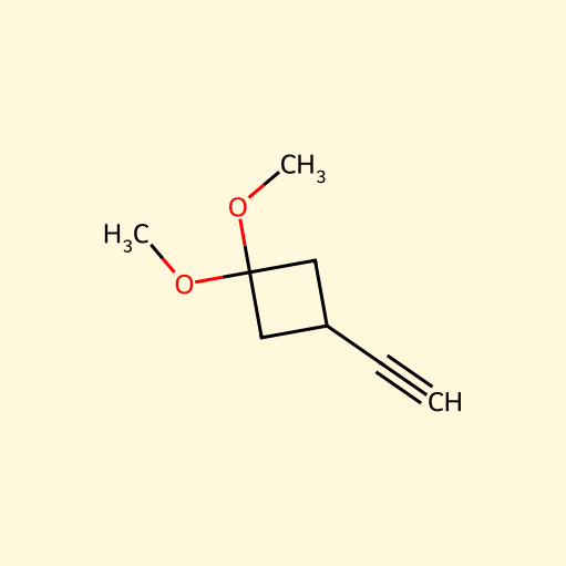 C#CC1CC(OC)(OC)C1